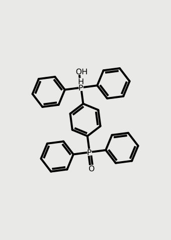 O=P(c1ccccc1)(c1ccccc1)c1ccc([PH](O)(c2ccccc2)c2ccccc2)cc1